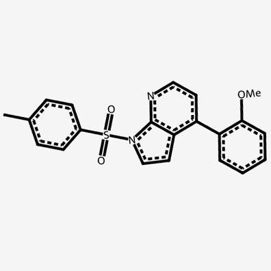 COc1ccccc1-c1ccnc2c1ccn2S(=O)(=O)c1ccc(C)cc1